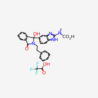 CN(C(=O)O)c1nc2cc(C3(O)c4ccccc4C(=O)N3CCc3ccccc3)ccc2[nH]1.O=C(O)C(F)(F)F